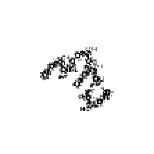 CC(C)Oc1ccc(C(=O)N[C@H](CCO)Cc2ccc(-c3ccc4nc(C(C)(C)C)cn4c3)cc2)cc1Cl.CC(C)Oc1ccc(C(=O)N[C@H](CCO)Cc2ccc(-c3cn4ccccc4n3)cc2)cc1Cl.CC(C)Oc1ccc(C(=O)N[C@H](CCO)Cc2ccc(-c3cn4cccnc4n3)cc2)cc1Cl.Cc1cccc2nc(-c3ccc(C[C@@H](CCO)NC(=O)c4ccc(OC(C)C)c(Cl)c4)cc3)cn12